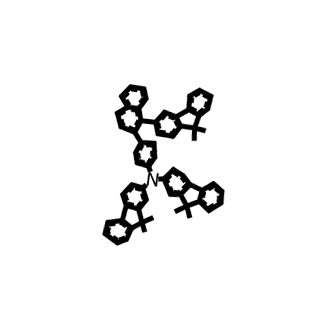 CC1(C)c2ccccc2-c2cc(-c3c(-c4ccc(N(c5ccc6c(c5)C(C)(C)c5ccccc5-6)c5ccc6c(c5)C(C)(C)c5ccccc5-6)cc4)ccc4ccccc34)ccc21